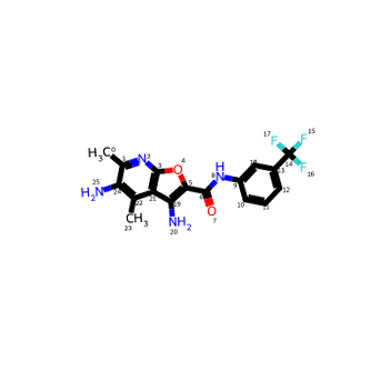 Cc1nc2oc(C(=O)Nc3cccc(C(F)(F)F)c3)c(N)c2c(C)c1N